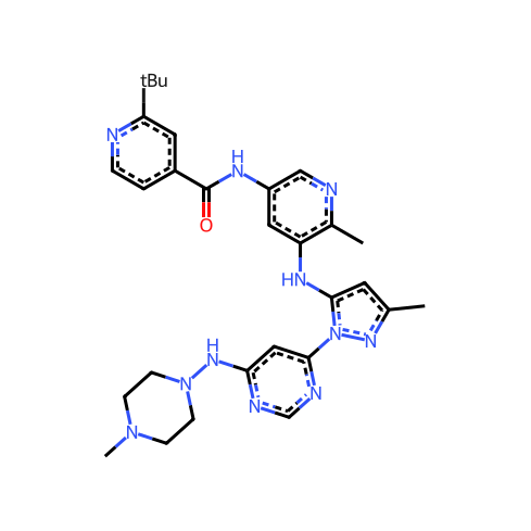 Cc1cc(Nc2cc(NC(=O)c3ccnc(C(C)(C)C)c3)cnc2C)n(-c2cc(NN3CCN(C)CC3)ncn2)n1